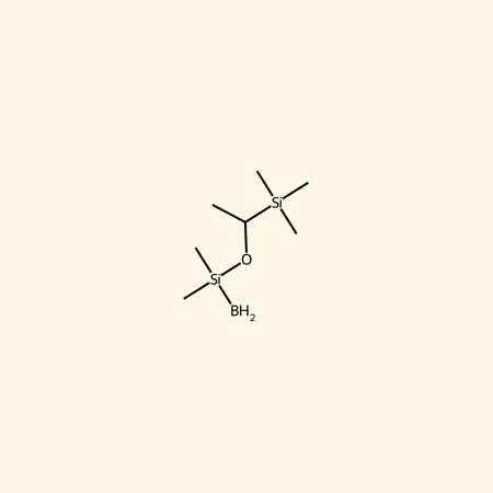 B[Si](C)(C)OC(C)[Si](C)(C)C